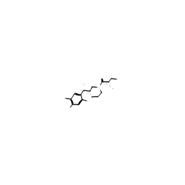 N[C@@H](c1cc(Cl)c(Cl)cc1O)[C@@H]1CCCN(C(=O)[C@H](O)CO)C1